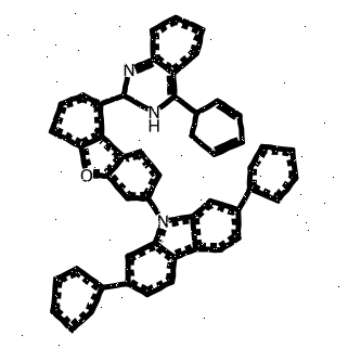 C1=CCC(C2=c3ccccc3=NC(c3cccc4oc5cc(-n6c7cc(-c8ccccc8)ccc7c7ccc(-c8ccccc8)cc76)ccc5c34)N2)C=C1